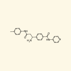 Cc1ccc(NC(=O)CC(N)c2ccc(C(=O)Nc3ccncc3)cc2)cc1